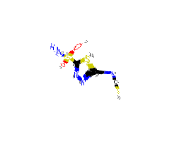 NS(=O)(=O)c1nnc(N=C=S)s1